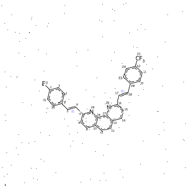 Fc1ccc(/C=C/c2ccc3ccc4ccc(/C=C/c5ccc(C(F)(F)F)cc5)nc4c3n2)cc1